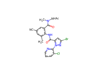 CC(=O)NN(C)C(=O)c1cc(C#N)cc(C)c1NC(=O)c1cc(Br)nn1-c1ncccc1Cl